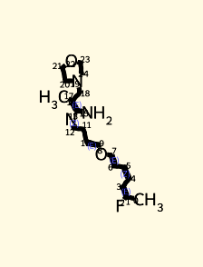 C\C(F)=C/C=C\C=C\O/C=C/C/C=N\C(N)=C(/C)CN1CCOCC1